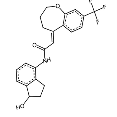 O=C(/C=C1\CCCOc2cc(C(F)(F)F)ccc21)Nc1cccc2c1CCC2O